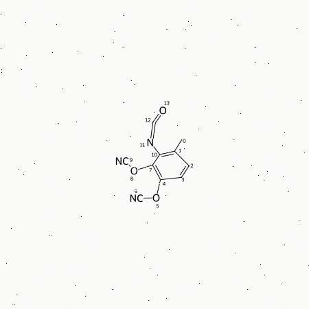 Cc1ccc(OC#N)c(OC#N)c1N=C=O